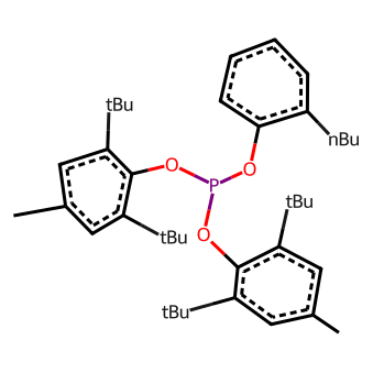 CCCCc1ccccc1OP(Oc1c(C(C)(C)C)cc(C)cc1C(C)(C)C)Oc1c(C(C)(C)C)cc(C)cc1C(C)(C)C